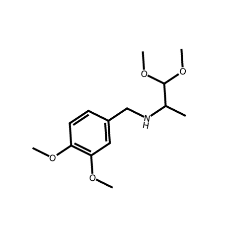 COc1ccc(CNC(C)C(OC)OC)cc1OC